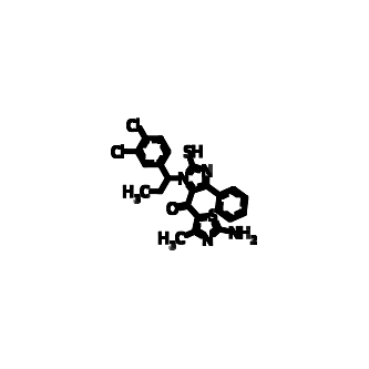 CCC(c1ccc(Cl)c(Cl)c1)n1c(S)nc(-c2ccccc2)c1C(=O)c1sc(N)nc1C